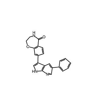 O=C1NCCOc2cc(-c3c[nH]c4ncc(-c5ccccc5)cc34)ccc21